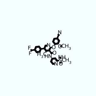 COc1cc(C#N)ccc1Oc1ncc(-c2ccc(C(F)F)cc2)c(C)c1C(=O)Nc1ccnc([S@@](C)(=N)=O)c1